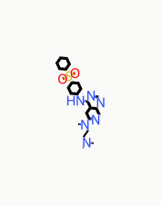 CN(C)CCN(C)c1cc2c(Nc3ccc(S(=O)(=O)c4ccccc4)cc3)ncnc2cn1